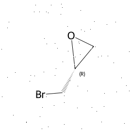 BrC[C@H]1CO1